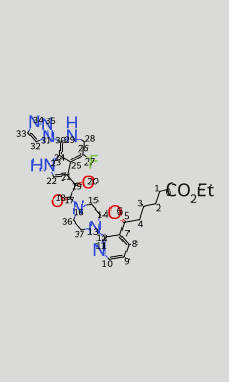 CCOC(=O)CCCCC(=O)c1cccnc1N1CCN(C(=O)C(=O)c2c[nH]c3c2=C(F)CNC=3n2ccnn2)CC1